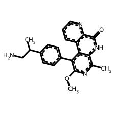 COc1nc(C)c2[nH]c(=O)c3ncccc3c2c1-c1ccc(C(C)CN)cc1